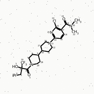 CC(C)CC(O)(C(=O)N1CCC(C2CCN(c3ccc(C(=O)N(C)C)c(Cl)n3)CC2)CC1)C(F)(F)F